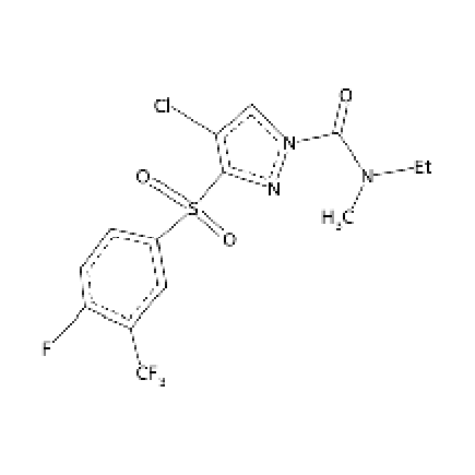 CCN(C)C(=O)n1cc(Cl)c(S(=O)(=O)c2ccc(F)c(C(F)(F)F)c2)n1